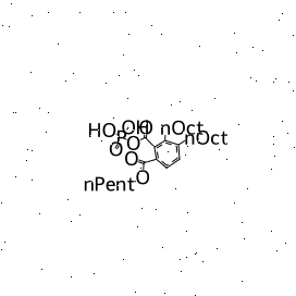 CCCCCCCCc1ccc(C(=O)OCCCCC)c(C(=O)OP(=O)(O)O)c1CCCCCCCC